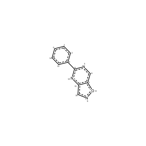 c1ccc(-c2ncc3oncc3n2)cc1